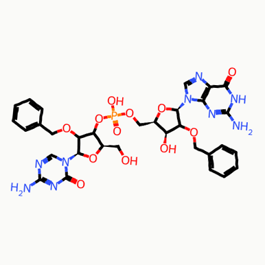 Nc1ncn([C@@H]2O[C@H](CO)C(OP(=O)(O)OC[C@H]3O[C@@H](n4cnc5c(=O)[nH]c(N)nc54)C(OCc4ccccc4)[C@H]3O)C2OCc2ccccc2)c(=O)n1